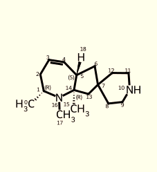 C[C@@H]1CC=C[C@@H]2CC3(CCNCC3)C[C@@]2(C)N1C